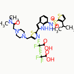 CC(C)c1ccsc1S(=O)(=O)Nc1cccc2cc(-c3ncc(CN4CCN(CC(=O)N(C)C)CC4)s3)[nH]c12.O=C(O)C(F)(F)F.O=C(O)C(F)(F)F